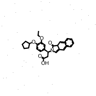 CCOc1cc(C(CC(=O)O)N2C=C3C=c4ccccc4=CC3C2=O)ccc1OC1CCCC1